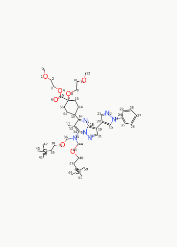 COCCOC(=O)C1(OCCOC)CCC(c2nc3c(-c4cnn(-c5ccccc5)c4)cnn3c(N(COCC[Si](C)(C)C)COCC[Si](C)(C)C)c2C)CC1